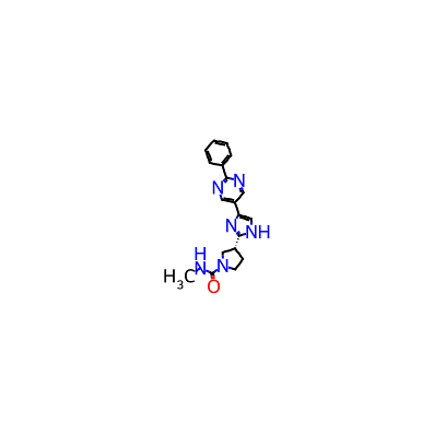 CNC(=O)N1CC[C@@H](c2nc(-c3cnc(-c4ccccc4)nc3)c[nH]2)C1